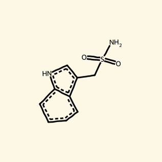 NS(=O)(=O)Cc1c[nH]c2ccccc12